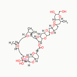 C=C1C[C@@H]2CC[C@]34CC(O)(O)C(O3)[C@@H]3O[C@H]5CC[C@H](CC(=O)O[C@@H]6CC7OC8C[C@]9(C[C@@H]%10O[C@@]%11(CC[C@@H]%10O9)C[C@H](C)[C@@H]9O[C@H](CO)[C@H](O)C[C@@H]9O%11)O[C@@H]8C[C@@H]7O[C@H]6C[C@H]6O[C@@H](CC[C@@H]1O2)C[C@@H](C)C6=C)O[C@@H]5[C@H](O4)[C@@H]3I